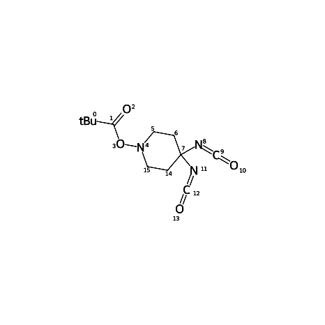 CC(C)(C)C(=O)ON1CCC(N=C=O)(N=C=O)CC1